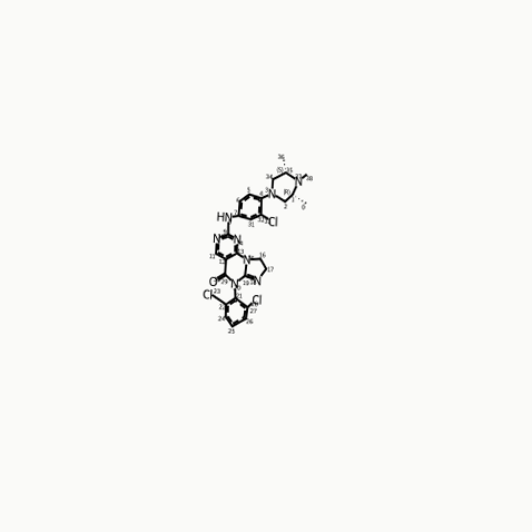 C[C@@H]1CN(c2ccc(Nc3ncc4c(n3)N3CCN=C3N(c3c(Cl)cccc3Cl)C4=O)cc2Cl)C[C@H](C)N1C